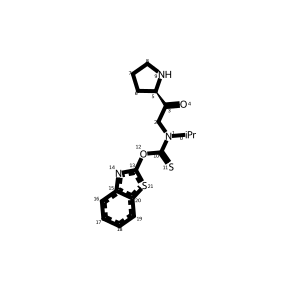 CC(C)N(CC(=O)[C@H]1CCCN1)C(=S)Oc1nc2ccccc2s1